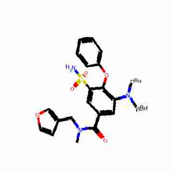 CCCCN(CCCC)c1cc(C(=O)N(C)Cc2ccoc2)cc(S(N)(=O)=O)c1Oc1ccccc1